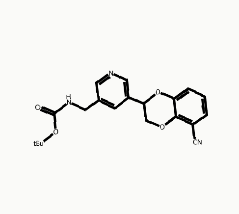 CC(C)(C)OC(=O)NCc1cncc(C2COc3c(C#N)cccc3O2)c1